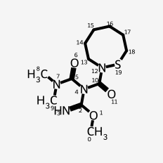 COC(=N)N(C(=O)N(C)C)C(=O)N1CCCCCCS1